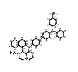 CC1C=Cc2ccccc2C1c1c(Nc2ccc(-c3ccc(N(c4ccccc4)c4ccc(C(C)(C)C)cc4)cc3)cc2)ccc2c1C=CCC2